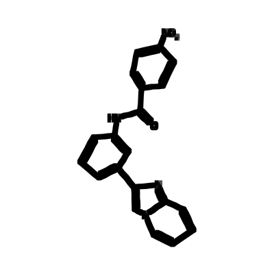 O=C(Nc1cccc(-c2cn3ccccc3n2)c1)c1ccc([N+](=O)[O-])cc1